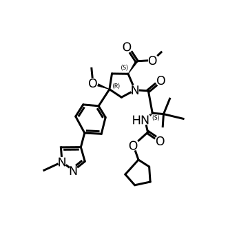 COC(=O)[C@@H]1C[C@@](OC)(c2ccc(-c3cnn(C)c3)cc2)CN1C(=O)[C@@H](NC(=O)OC1CCCC1)C(C)(C)C